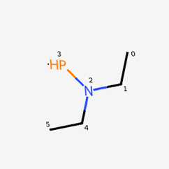 CCN([PH])CC